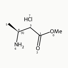 COC(=O)C[C@H](C)N.Cl